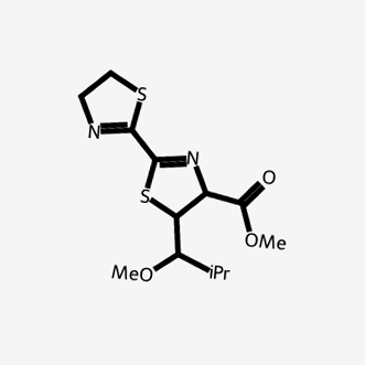 COC(=O)C1N=C(C2=NCCS2)SC1C(OC)C(C)C